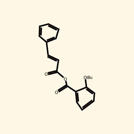 CC(C)COc1ccccc1C(=O)OC(=O)C=Cc1ccccc1